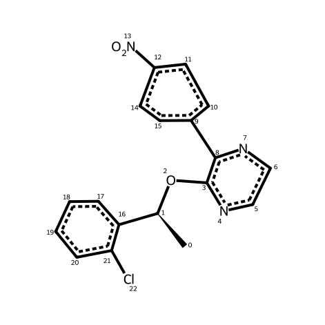 C[C@H](Oc1nccnc1-c1ccc([N+](=O)[O-])cc1)c1ccccc1Cl